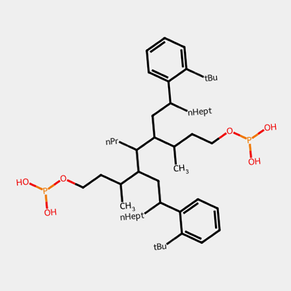 CCCCCCCC(CC(C(C)CCOP(O)O)C(CCC)C(CC(CCCCCCC)c1ccccc1C(C)(C)C)C(C)CCOP(O)O)c1ccccc1C(C)(C)C